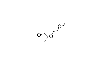 CCOCCOC(C)C[O]